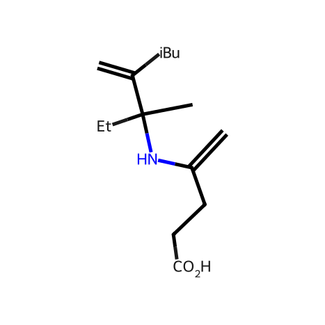 C=C(CCC(=O)O)NC(C)(CC)C(=C)C(C)CC